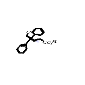 CCOC(=O)/C=C/C(CC#N)(c1ccccc1)c1ccccc1